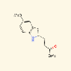 COC(=O)CCc1cc2cc(OC)ccc2[nH]1